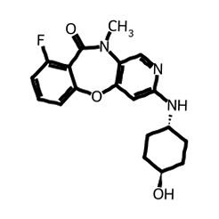 CN1C(=O)c2c(F)cccc2Oc2cc(N[C@H]3CC[C@H](O)CC3)ncc21